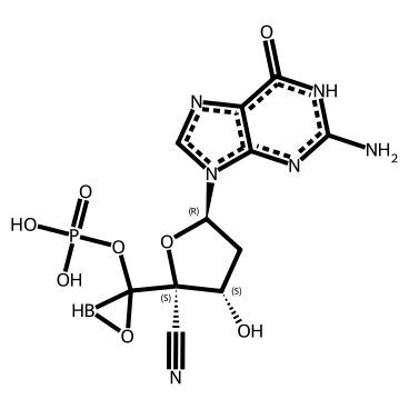 N#C[C@]1(C2(OP(=O)(O)O)BO2)O[C@@H](n2cnc3c(=O)[nH]c(N)nc32)C[C@@H]1O